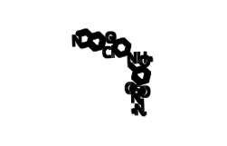 COc1ccc(S(=O)(=O)/N=C/N(C)C)cc1CN[C@H]1CC[C@H](Oc2cc3ccncc3cc2Cl)CC1